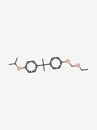 CCOCOc1ccc(C(C)(C)c2ccc(OC(C)C)cc2)cc1